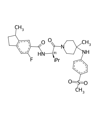 CC1CCc2cc(F)c(C(=O)N[C@@H](C(=O)N3CCC(C)(Nc4ccc(S(C)(=O)=O)cc4)CC3)C(C)C)cc21